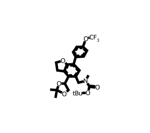 CN(Cc1cc(-c2ccc(OC(F)(F)F)cc2)c2c(c1C1COC(C)(C)O1)CCO2)C(=O)OC(C)(C)C